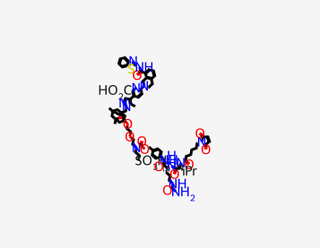 Cc1c(-c2ccc(N3CCc4cccc(C(=O)Nc5nc6ccccc6s5)c4C3)nc2C(=O)O)cnn1CC12CC3(C)CC(C)(C1)CC(OCCOCCN(CCS(=O)(=O)O)C(=O)OCc1ccc(NC(=O)[C@H](CCCNC(N)=O)NC(=O)[C@@H](NC(=O)CCCCCN4C(=O)C=CC4=O)C(C)C)cc1)(C3)C2